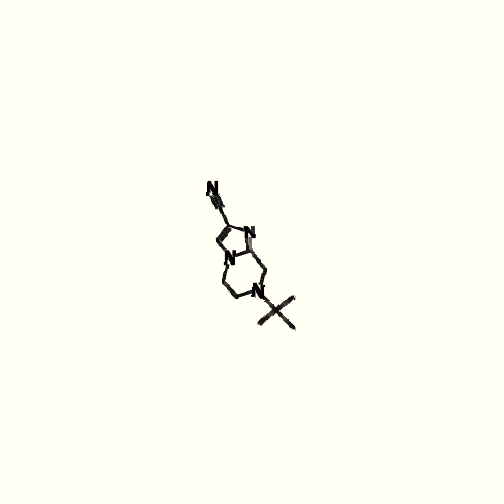 CC(C)(C)N1CCn2cc(C#N)nc2C1